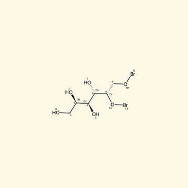 OC[C@@H](O)[C@H](O)[C@H](O)[C@H](COBr)OBr